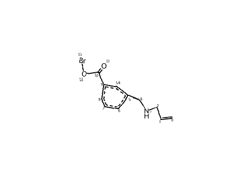 C=CCNCc1cccc(C(=O)OBr)c1